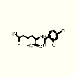 [NH]C(=O)CCCC(NC(=O)c1ccc(Cl)cc1Cl)C(=O)O